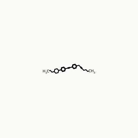 CCCCC#CCc1ccc(C#Cc2ccc(C3CCC(CCC)CC3)cc2)cc1